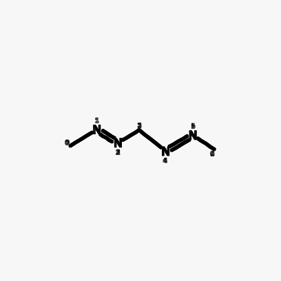 CN=NCN=NC